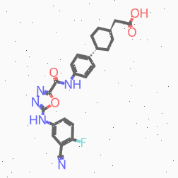 N#Cc1cc(Nc2nnc(C(=O)Nc3ccc([C@H]4CC[C@H](CC(=O)O)CC4)cc3)o2)ccc1F